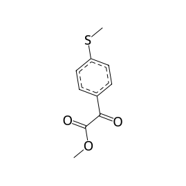 COC(=O)C(=O)c1ccc(SC)cc1